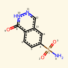 NS(=O)(=O)c1ccc2c(=O)[nH]ncc2c1